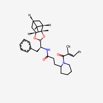 CC(C)/C=C(\C#N)C(=O)N1CCCCC1CCC(=O)N[C@@H](Cc1ccccc1)B1O[C@@H]2C[C@@H]3C[C@@H](C3(C)C)[C@]2(C)O1